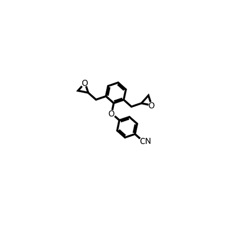 N#Cc1ccc(Oc2c(CC3CO3)cccc2CC2CO2)cc1